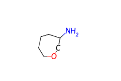 NC1CCCCOC1